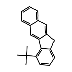 CC(C)(C)c1cccc2sc3cc4ccccc4cc3c12